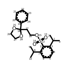 CC(C)c1cccc(C(C)C)c1S(=O)(=O)OCCC1(c2ccccc2)OCCO1